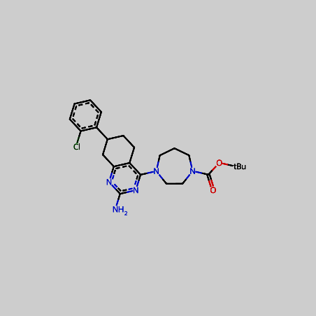 CC(C)(C)OC(=O)N1CCCN(c2nc(N)nc3c2CCC(c2ccccc2Cl)C3)CC1